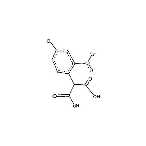 O=C(O)C(C(=O)O)c1ccc(Cl)cc1[N+](=O)[O-]